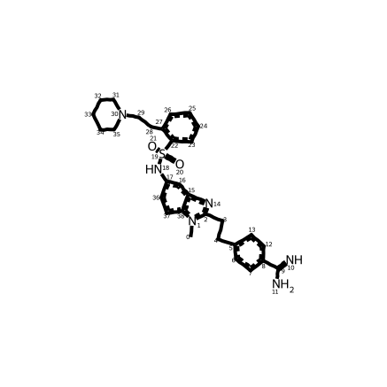 Cn1c(CCc2ccc(C(=N)N)cc2)nc2cc(NS(=O)(=O)c3ccccc3CCN3CCCCC3)ccc21